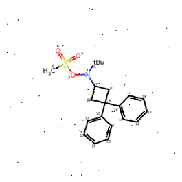 CC(C)(C)N(OS(C)(=O)=O)C1CC(c2ccccc2)(c2ccccc2)C1